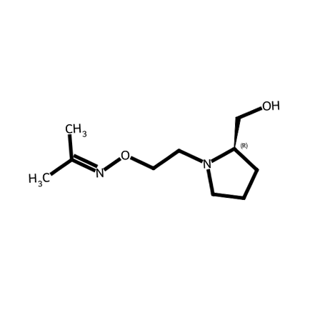 CC(C)=NOCCN1CCC[C@@H]1CO